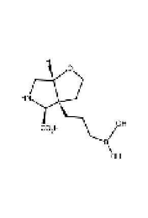 O=C(O)[C@H]1NC[C@@H]2OCC[C@@]21CCCB(O)O